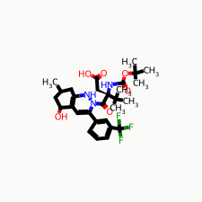 CC1CC2=C(C=C(c3cccc(C(F)(F)F)c3)N(C(=O)[C@](CC(=O)O)(NC(=O)OC(C)(C)C)C(C)(C)C)N2)C(O)C1